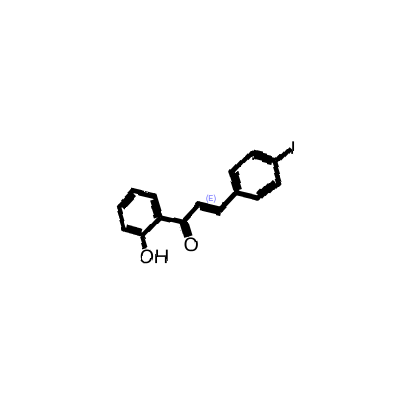 O=C(/C=C/c1ccc(I)cc1)c1ccccc1O